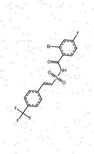 O=C(NS(=O)(=O)C=Cc1ccc(C(F)(F)F)cc1)c1ccc(F)cc1Br